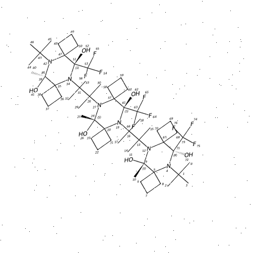 CC(C)(C)N1C2(CCC2)[C@](C)(O)N(C(C)(C)C(C)(C)N2C3(CCC3)[C@](C)(O)N(C(C)(C)C(C)(C)N3C4(CCC4)[C@@](C)(O)N(C(C)(C)C)C4(CCC4)[C@]3(O)C(F)(F)F)C3(CCC3)[C@]2(O)C(F)(F)F)C2(CCC2)[C@@]1(O)C(F)(F)F